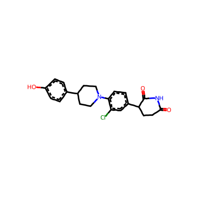 O=C1CCC(c2ccc(N3CCC(c4ccc(O)cc4)CC3)c(Cl)c2)C(=O)N1